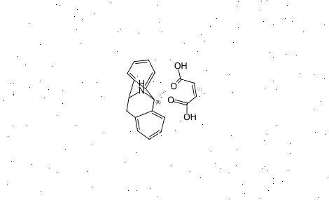 C[C@@]12NC(Cc3ccccc31)c1ccccc12.O=C(O)/C=C\C(=O)O